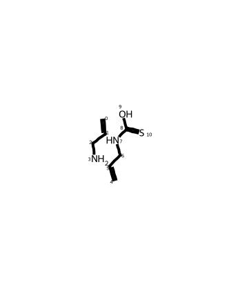 C=CCN.C=CCNC(O)=S